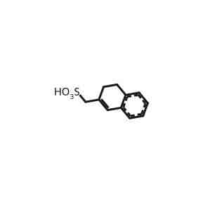 O=S(=O)(O)CC1=Cc2ccccc2CC1